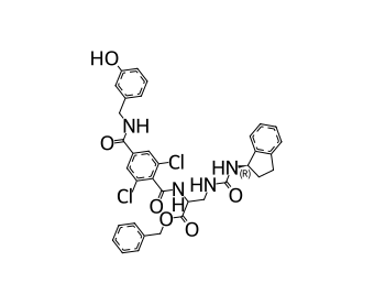 O=C(NCC(NC(=O)c1c(Cl)cc(C(=O)NCc2cccc(O)c2)cc1Cl)C(=O)OCc1ccccc1)N[C@@H]1CCc2ccccc21